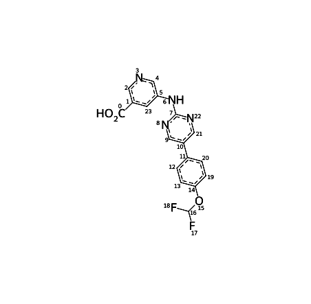 O=C(O)c1cncc(Nc2ncc(-c3ccc(OC(F)F)cc3)cn2)c1